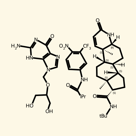 CC(C)(C)NC(=O)[C@H]1CC[C@H]2[C@@H]3CC[C@H]4NC(=O)C=C[C@]4(C)[C@H]3CC[C@]12C.CC(C)C(=O)Nc1ccc([N+](=O)[O-])c(C(F)(F)F)c1.Nc1nc(=O)c2ncn(COC(CO)CO)c2[nH]1